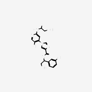 CCC(CO)Nc1cc(-n2cnc(C(=O)NC(CO)c3cccc(Cl)c3)c2)c(Cl)cn1